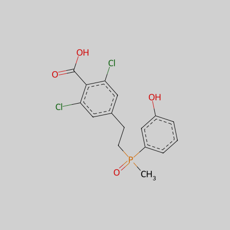 CP(=O)(CCc1cc(Cl)c(C(=O)O)c(Cl)c1)c1cccc(O)c1